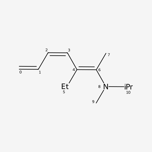 C=C/C=C\C(CC)=C(/C)N(C)C(C)C